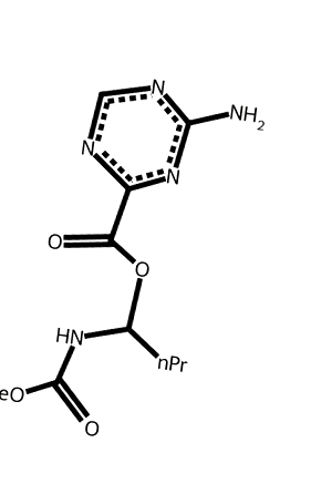 CCCC(NC(=O)OC)OC(=O)c1ncnc(N)n1